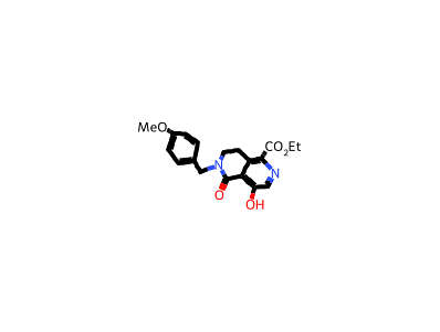 CCOC(=O)c1ncc(O)c2c1CCN(Cc1ccc(OC)cc1)C2=O